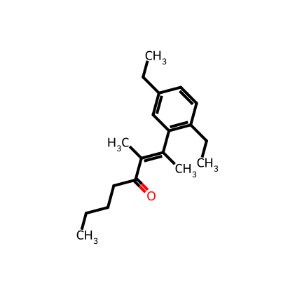 CCCCC(=O)/C(C)=C(\C)c1cc(CC)ccc1CC